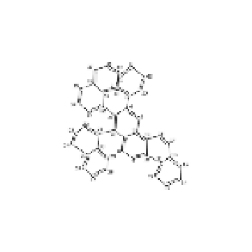 c1ccc(-c2cc3c(ccc4c5ccccc5ccc34)c(-c3cccc4ccccc34)c2-c2cccc3ccccc23)cc1